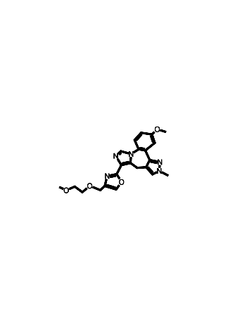 COCCOCc1coc(-c2ncn3c2Cc2cn(C)nc2-c2cc(OC)ccc2-3)n1